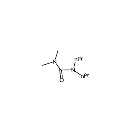 CCCN(CCC)C(=O)N(C)C